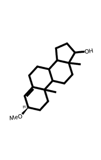 CO[C@H]1C=C2CCC3C(CCC4(C)C(O)CCC34)C2(C)CC1